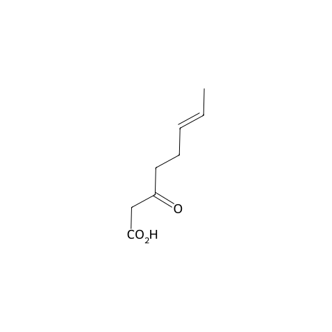 CC=CCCC(=O)CC(=O)O